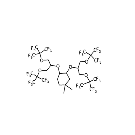 CC1(C)CCC(OC(COC(C(F)(F)F)(C(F)(F)F)C(F)(F)F)COC(C(F)(F)F)(C(F)(F)F)C(F)(F)F)C(OC(COC(C(F)(F)F)(C(F)(F)F)C(F)(F)F)COC(C(F)(F)F)(C(F)(F)F)C(F)(F)F)C1